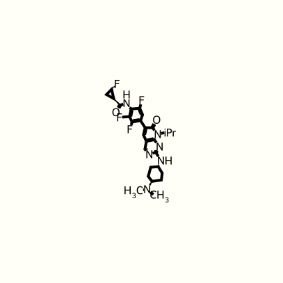 CC(C)n1c(=O)c(-c2cc(F)c(NC(=O)[C@H]3C[C@@H]3F)c(F)c2F)cc2cnc(N[C@H]3CC[C@H](N(C)C)CC3)nc21